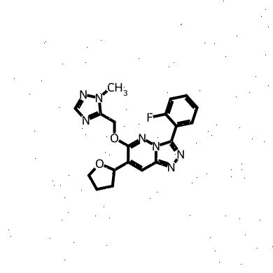 Cn1ncnc1COc1nn2c(-c3ccccc3F)nnc2cc1C1CCCO1